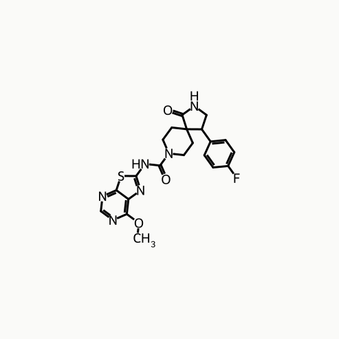 COc1ncnc2sc(NC(=O)N3CCC4(CC3)C(=O)NCC4c3ccc(F)cc3)nc12